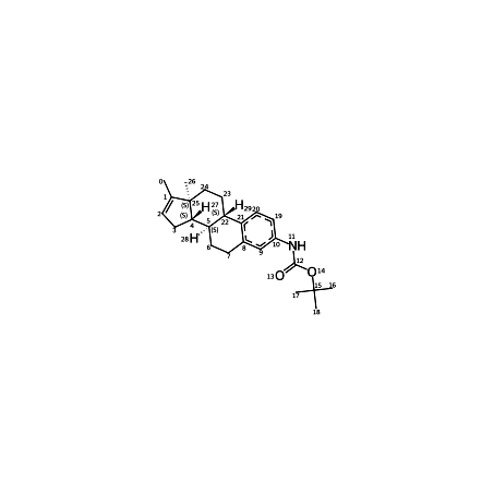 CC1=CC[C@H]2[C@@H]3CCc4cc(NC(=O)OC(C)(C)C)ccc4[C@H]3CC[C@]12C